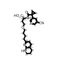 N#Cc1cncc(C2(C(=O)N[C@@H](CCOCCCCc3ccc4c(n3)NCCC4)C(=O)O)CC2)c1